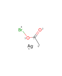 CC(=O)OBr.[Ag]